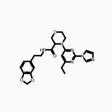 CCc1cc(N2CCOCC2C(=O)NCCc2ccc3c(c2)OCO3)nc(-n2ccnc2)n1